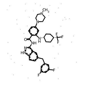 CN1CCN(c2ccc(C(=O)Nc3n[nH]c4ccc(Cc5cc(F)cc(F)c5)cc34)c(N[C@H]3CC[C@@H](C(F)(F)F)CC3)c2)CC1